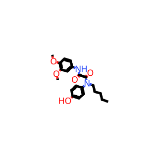 CCCCCN(C(=O)C(=O)Nc1ccc(OC)c(OC)c1)c1ccc(O)cc1